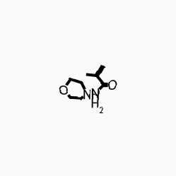 C1COCCN1.C=C(C)C(N)=O